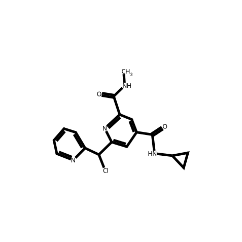 CNC(=O)c1cc(C(=O)NC2CC2)cc(C(Cl)c2ccccn2)n1